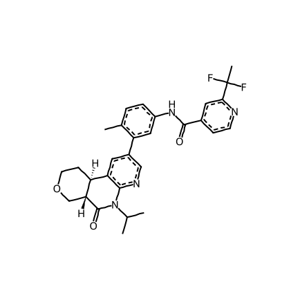 Cc1ccc(NC(=O)c2ccnc(C(C)(F)F)c2)cc1-c1cnc2c(c1)[C@@H]1CCOC[C@H]1C(=O)N2C(C)C